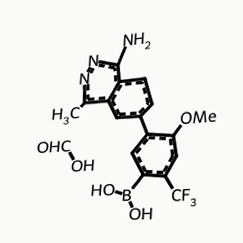 COc1cc(C(F)(F)F)c(B(O)O)cc1-c1ccc2c(N)nnc(C)c2c1.O=CO